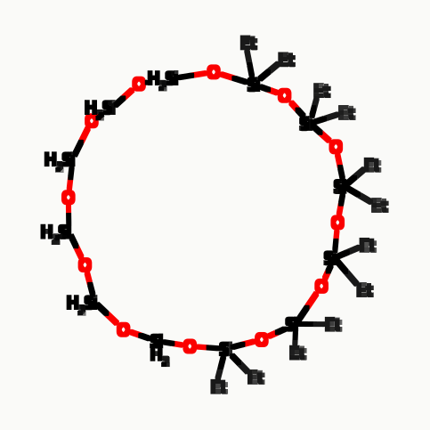 CC[Si]1(CC)O[SiH2]O[SiH2]O[SiH2]O[SiH2]O[SiH2]O[SiH2]O[Si](CC)(CC)O[Si](CC)(CC)O[Si](CC)(CC)O[Si](CC)(CC)O[Si](CC)(CC)O1